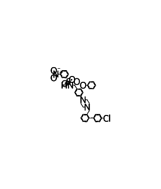 O=C(NS(=O)(=O)c1cccc([N+](=O)[O-])c1)c1ccc(N2CCN(Cc3ccccc3-c3ccc(Cl)cc3)CC2)cc1Oc1ccccc1